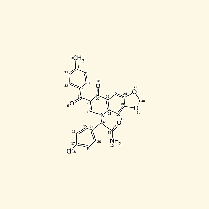 Cc1ccc(C(=O)c2cn(C(C(N)=O)c3ccc(Cl)cc3)c3cc4c(cc3c2=O)OCO4)cc1